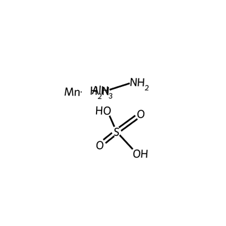 NN.O=S(=O)(O)O.[AlH3].[Mn]